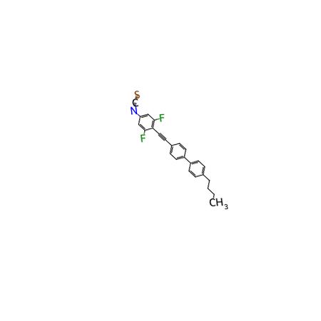 CCCCc1ccc(-c2ccc(C#Cc3c(F)cc(N=C=S)cc3F)cc2)cc1